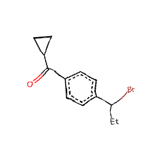 CCC(Br)c1ccc(C(=O)C2CC2)cc1